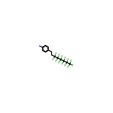 FC(F)(F)C(F)(F)C(F)(F)C(F)(F)C(F)(F)C(F)(F)CCc1ccc(I)cc1